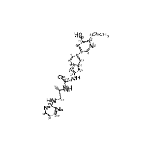 COc1ncc(-c2ccn3nc(NC(=O)NCCNc4ncccn4)cc3c2)cc1O